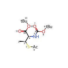 CC(=O)S[C@@H](C)[C@H](NC(=O)OC(C)(C)C)C(=O)OC(C)(C)C